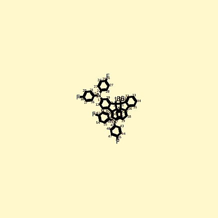 CC(C)(C)C1(C2(C(C)(C)C)c3ccccc3-c3ccc(N(c4ccc(F)cc4)c4ccc(F)cc4)cc32)c2ccccc2-c2ccc(N(c3ccc(F)cc3)c3ccc(F)cc3)cc21